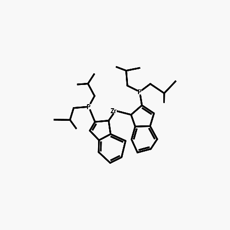 CC(C)CP(CC(C)C)C1=Cc2ccccc2[CH]1[Zr][CH]1C(P(CC(C)C)CC(C)C)=Cc2ccccc21